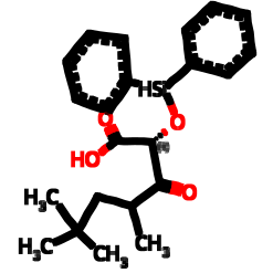 CC(CC(C)(C)C)C(=O)[C@@H](O[SiH](c1ccccc1)c1ccccc1)C(=O)O